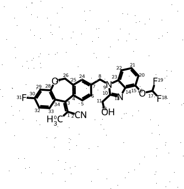 C/C(C#N)=C1/c2ccc(Cn3c(CO)nc4c(OC(F)F)cccc43)cc2COc2cc(F)ccc21